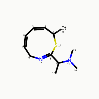 CCC1/C=C\C=C/C/N=C(/C(C)N(C)C)S1